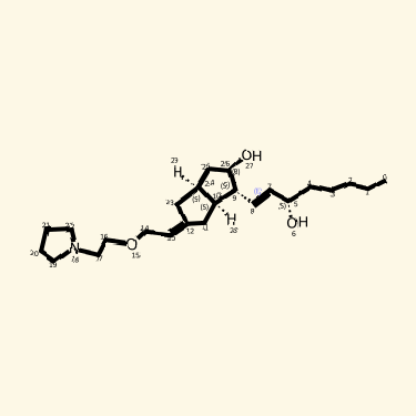 CCCCC[C@H](O)/C=C/[C@@H]1[C@H]2CC(=CCOCCN3CCCC3)C[C@H]2C[C@H]1O